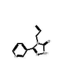 C=CCn1c(-c2cccnc2)n[nH]c1=O